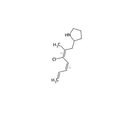 C=C/C=C\C(Cl)=C(\C)CC1CCCN1